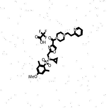 COc1cc(C)c(S(=O)(=O)N(Cc2nc(C(=O)N3CCN(CCc4ccccn4)CC3)co2)C2CC2)c(C)c1.O=C(O)C(F)(F)F